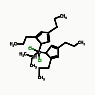 CCCC1=C[CH]([Zr]([Cl])([Cl])([CH]2C=C(CCC)C=C2CCC)[SiH](C)C)C(CCC)=C1